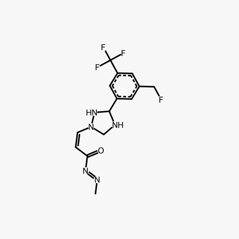 CN=NC(=O)/C=C\N1CNC(c2cc(CF)cc(C(F)(F)F)c2)N1